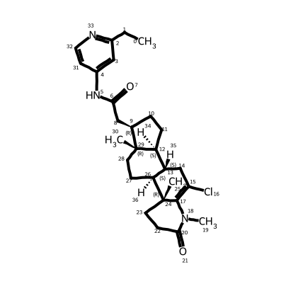 CCc1cc(NC(=O)C[C@H]2CC[C@H]3[C@@H]4CC(Cl)=C5N(C)C(=O)CC[C@]5(C)[C@H]4CC[C@]23C)ccn1